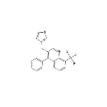 FC(F)(F)c1cccc2c(-c3ccccc3)c(Cc3ccsc3)cnc12